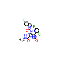 CNC(=O)c1nc(NC(=O)n2ccc3cc(F)ccc32)c2n1CC(=O)NC2c1cc(F)ccc1Cl